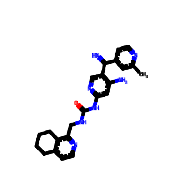 Cc1cc(C(=N)c2cnc(NC(=O)NCc3nccc4c3CCCC4)cc2N)ccn1